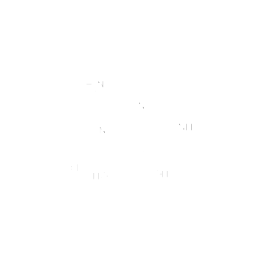 Cl.Nc1nc(N)c(O)c(O)n1